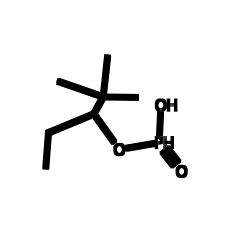 CCC(O[PH](=O)O)C(C)(C)C